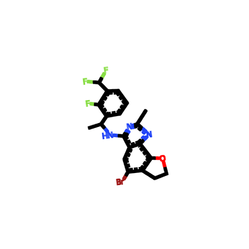 Cc1nc(NC(C)c2cccc(C(F)F)c2F)c2cc(Br)c3c(c2n1)OCC3